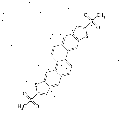 CS(=O)(=O)c1cc2cc3ccc4c5cc6sc(S(C)(=O)=O)cc6cc5ccc4c3cc2s1